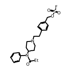 CCC(=O)N(c1ccccc1)C1CCN(CCc2ccc(COS(=O)(=O)F)cc2)CC1